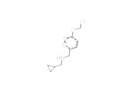 FC(F)(F)COc1ccc(CNCC2CC2)nn1